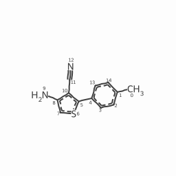 Cc1ccc(-c2scc(N)c2C#N)cc1